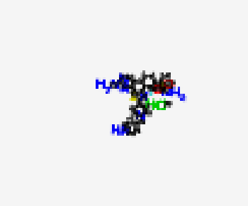 CCC(c1cccc(-c2nc(C3CCN(CC4CCNCC4)CC3)sc2-c2ccnc(N)n2)c1F)S(N)(=O)=O.Cl